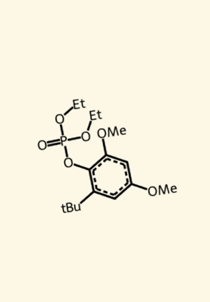 CCOP(=O)(OCC)Oc1c(OC)cc(OC)cc1C(C)(C)C